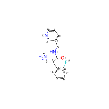 NC[C@H](C(=O)NCc1cccnc1)c1ccccc1F